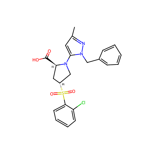 Cc1cc(N2C[C@H](S(=O)(=O)c3ccccc3Cl)C[C@H]2C(=O)O)n(Cc2ccccc2)n1